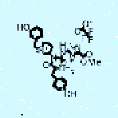 COC(=O)c1nnc(NC(=O)N(C(=O)[C@@H](N)Cc2ccc(O)cc2)[C@H]2CCC[N+](C)(Cc3cccc(O)c3)C2)n1C.O=C([O-])C(F)(F)F